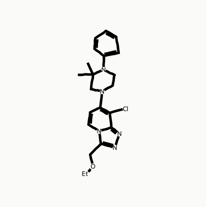 CCOCc1nnc2c(Cl)c(N3CCN(c4ccccc4)C(C)(C)C3)ccn12